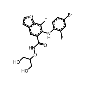 O=C(NOC(CO)CO)c1cc2ccoc2c(F)c1Nc1ccc(Br)cc1F